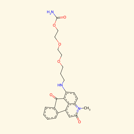 Cn1c(=O)cc2c3c(c(NCCCOCCOCCOC(N)=O)ccc31)C(=O)c1ccccc1-2